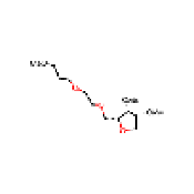 COCCCOCCOC[C@H]1OC[C@@H](OC)[C@H]1OC